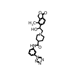 Cc1c(C(O)CN2CCC(C(=O)Nc3cccc(-n4cnnn4)c3)CC2)ccc2c1COC2=O